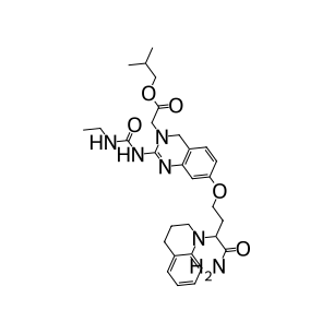 CCNC(=O)NC1=Nc2cc(OCCC(C(N)=O)N3CCCc4ccccc43)ccc2CN1CC(=O)OCC(C)C